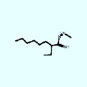 CCCCCCC(CC)C(=N)/N=N\C